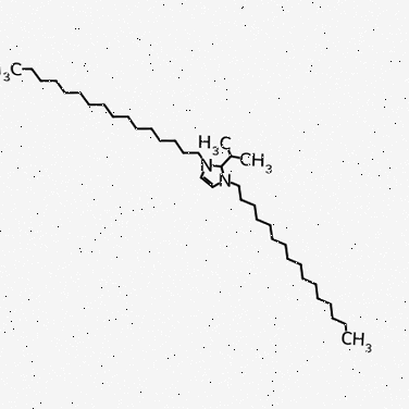 CCCCCCCCCCCCCCCCN1C=CN(CCCCCCCCCCCCCCCC)C1C(C)C